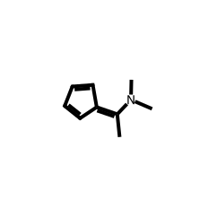 CC(=C1C=CC=C1)N(C)C